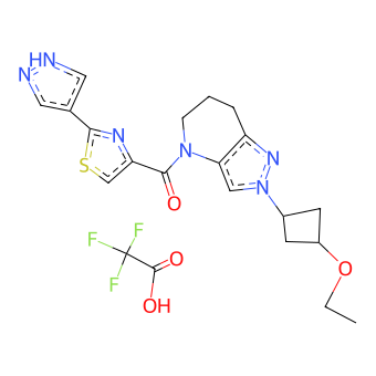 CCOC1CC(n2cc3c(n2)CCCN3C(=O)c2csc(-c3cn[nH]c3)n2)C1.O=C(O)C(F)(F)F